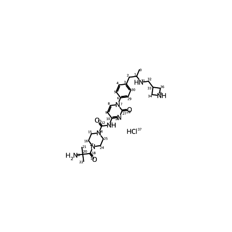 CC(Cc1ccc(-n2ccc(NC(=O)N3CCN(C(=O)C(C)(C)N)CC3)nc2=O)cc1)NCC1CNC1.Cl